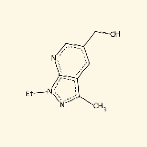 CCn1nc(C)c2cc(CO)cnc21